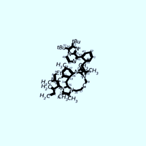 C=CC(=C)/C(=C\C(C)=C/CC)N1C(C)=C(C)N2CCCCN3C(C)=C(C)N(c4cc(C)cc(C)c4CC21)C3CCc1ccccc1-c1nccn2c(C(C)(C)C)c(C(C)(C)C)nc12